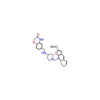 COc1cc2c(o1)N(CN1CCC(NCc3ccc4c(c3)NC(=O)CO4)CC1)C1CCC=CC1=C2